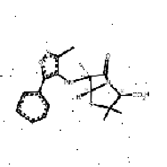 Cc1noc(-c2ccccc2)c1N[C@@]1(C)C(=O)N2[C@@H](C(=O)O)C(C)(C)S[C@@H]21